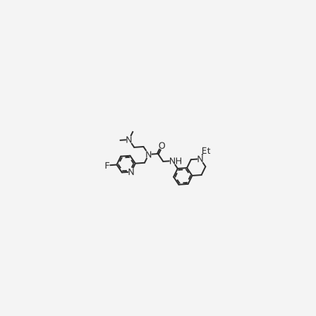 CCN1CCc2cccc(NCC(=O)N(CCN(C)C)Cc3ccc(F)cn3)c2C1